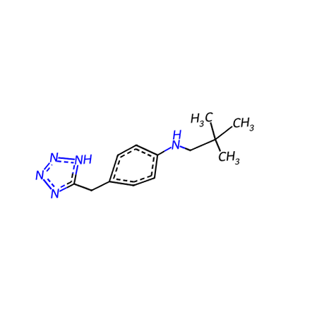 CC(C)(C)CNc1ccc(Cc2nnn[nH]2)cc1